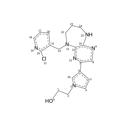 OCCn1ccc(-c2cnc3c(n2)N(Cc2cccnc2Cl)CCCN3)c1